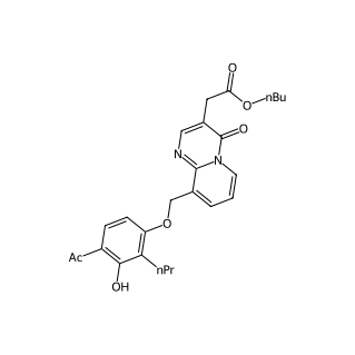 CCCCOC(=O)Cc1cnc2c(COc3ccc(C(C)=O)c(O)c3CCC)cccn2c1=O